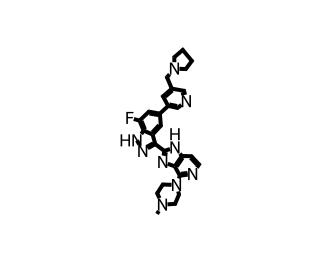 CN1CCN(c2nccc3[nH]c(-c4n[nH]c5c(F)cc(-c6cncc(CN7CCCC7)c6)cc45)nc23)CC1